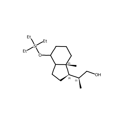 CC[Si](CC)(CC)OC1CCC[C@@]2(C)C1CC[C@@H]2[C@H](C)CO